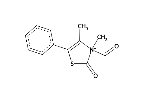 CC1=C(c2ccccc2)SC(=O)[N+]1(C)C=O